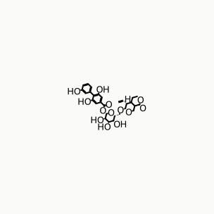 C=C[C@H]1[C@H](OC[C@H]2O[C@@H](OC(=O)c3cc(O)c(-c4cccc(O)c4)c(O)c3)[C@H](O)[C@@H](O)[C@@H]2O)OCC2C(=O)OCC[C@H]21